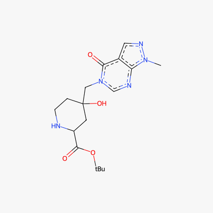 Cn1ncc2c(=O)n(CC3(O)CCNC(C(=O)OC(C)(C)C)C3)cnc21